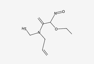 C=CCN(CS)C(=C)C(N=O)OCC